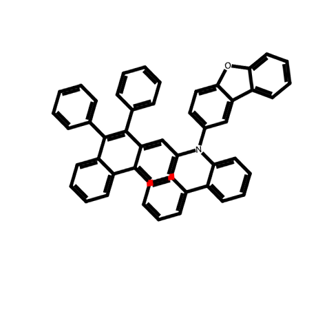 c1ccc(-c2ccccc2N(c2ccc3c(c2)c(-c2ccccc2)c(-c2ccccc2)c2ccccc23)c2ccc3oc4ccccc4c3c2)cc1